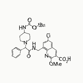 COc1nc2c(CNC(=O)C(c3ccccc3)N3CCC(NC(=O)OC(C)(C)C)CC3)cc(Cl)cc2cc1C(=O)O